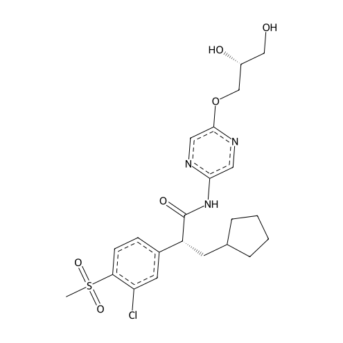 CS(=O)(=O)c1ccc([C@@H](CC2CCCC2)C(=O)Nc2cnc(OC[C@H](O)CO)cn2)cc1Cl